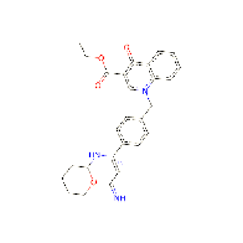 CCOC(=O)c1cn(Cc2ccc(/C(=C/C=N)NC3CCCCO3)cc2)c2ccccc2c1=O